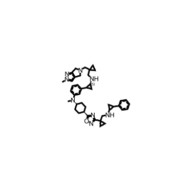 Cn1cc2c(n1)CN(CC1(CN[C@H]3CC3c3cccc(N(C)[C@H]4CC[C@H](c5nc(C6(CNC7CC7c7ccccc7)CC6)no5)CC4)c3)CC1)C2